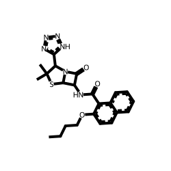 CCCCOc1ccc2ccccc2c1C(=O)NC1C(=O)N2C1SC(C)(C)C2c1nnn[nH]1